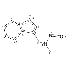 CN(Cc1c[nH]c2ccccc12)N=O